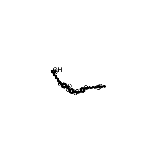 C=CCOOCCCCCCOc1ccc(COOc2ccc(OC(=O)c3ccc(OCCCCCCC(C=C)OO)cc3)cc2)cc1